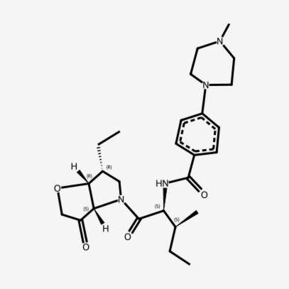 CC[C@@H]1CN(C(=O)[C@@H](NC(=O)c2ccc(N3CCN(C)CC3)cc2)[C@@H](C)CC)[C@@H]2C(=O)CO[C@H]12